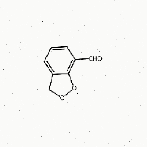 O=[C]c1cccc2c1OOC2